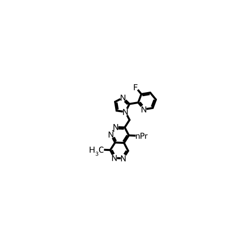 CCCc1c(Cn2ccnc2-c2ncccc2F)nnc2c(C)nncc12